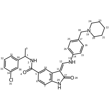 CC(NC(=O)c1ccc2c(c1)/C(=C/Nc1ccc(CN3CCCCC3)cc1)C(=O)N2)c1cccc(Cl)c1